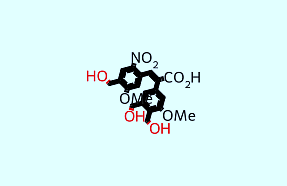 COc1cc(/C=C(/C(=O)O)c2cc(CO)c(CO)c(OC)c2)c([N+](=O)[O-])cc1CO